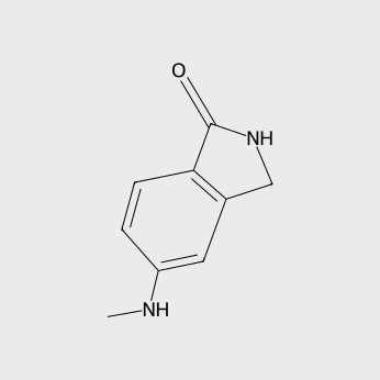 CNc1ccc2c(c1)CNC2=O